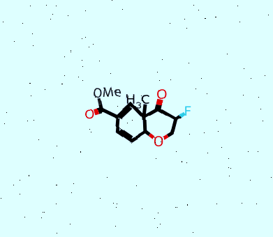 COC(=O)C1=CC2(C)C(=O)C(F)COC2C=C1